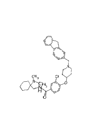 CN(C)C1(CNC(=O)c2ccc(OC3CCN(Cc4ccc5c(c4)Cc4ccccc4-5)CC3)c(Cl)c2)CCCCC1